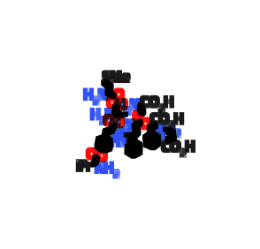 CSCC[C@H](N)C(=O)OC(=O)[C@@H](N)[C@@H](C)OC(=O)[C@@H](N)Cc1ccc(OC(=O)[C@@H](N)C(C)C)cc1.N[C@@H](COC(=O)[C@@H](N)Cc1c[nH]c2ccccc12)C(=O)O.N[C@@H](Cc1ccccc1)C(=O)O.O=C(O)[C@@H]1CCCN1